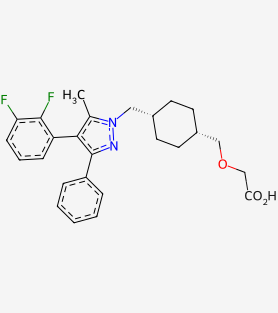 Cc1c(-c2cccc(F)c2F)c(-c2ccccc2)nn1C[C@H]1CC[C@@H](COCC(=O)O)CC1